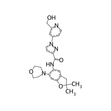 CC1(C)Cc2cc(NC(=O)c3ccn(-c4ccnc(CO)c4)n3)c(N3CCOCC3)cc2O1